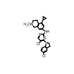 CN1CCc2c(cc(Nc3ncc(Cl)c(N4CCc5cc(Cl)ccc54)n3)cc2C2CC2)C1